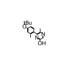 Cc1cc(OC(C)(C)C)ccc1-c1nc(O)cnc1C